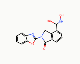 O=C1c2cccc(C(O)NO)c2CN1c1nc2ccccc2o1